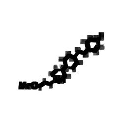 COCCC[Si@H]1CC[C@H]([C@H]2CC[C@H](CCc3ccc(F)cc3)CC2)CC1